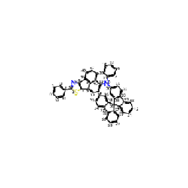 c1ccc(-c2nc3c(s2)-c2ccc(N(c4ccccc4)c4ccc5c(c4)C4(c6ccccc6-c6ccccc64)c4ccccc4-5)c4cccc-3c24)cc1